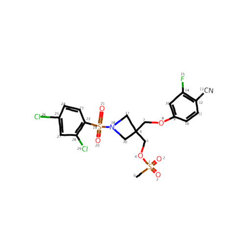 CS(=O)(=O)OCC1(COc2ccc(C#N)c(F)c2)CN(S(=O)(=O)c2ccc(Cl)cc2Cl)C1